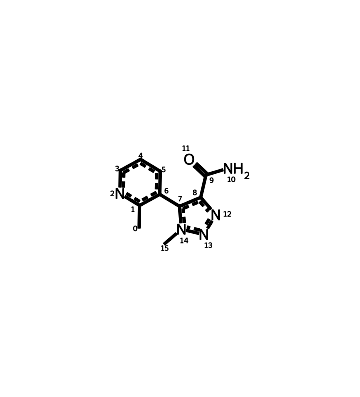 Cc1ncccc1-c1c(C(N)=O)nnn1C